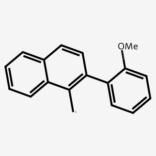 [CH2]c1c(-c2ccccc2OC)ccc2ccccc12